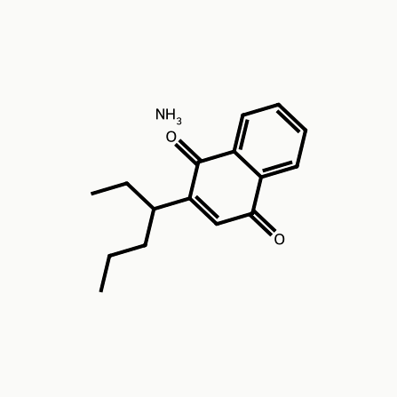 CCCC(CC)C1=CC(=O)c2ccccc2C1=O.N